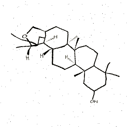 CC1(C)CC(O)C[C@@]2(C)C1CC[C@]1(C)[C@@H]2CC[C@@H]2[C@H]3[C@H]4OC[C@@]3(CCC4(C)C)CC[C@]21C